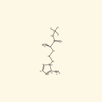 CC(C)(C)OC(=O)[C@H](N)CCCn1ccnc1N